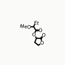 CCC(OC)C(=O)OC1CCOC1=O